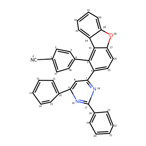 N#Cc1ccc(-c2c(-c3cc(-c4ccccc4)nc(-c4ccccc4)n3)ccc3oc4ccccc4c23)cc1